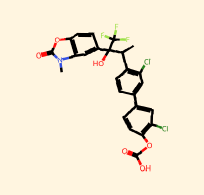 CC(c1ccc(-c2ccc(OC(=O)O)c(Cl)c2)cc1Cl)C(O)(c1ccc2oc(=O)n(C)c2c1)C(F)(F)F